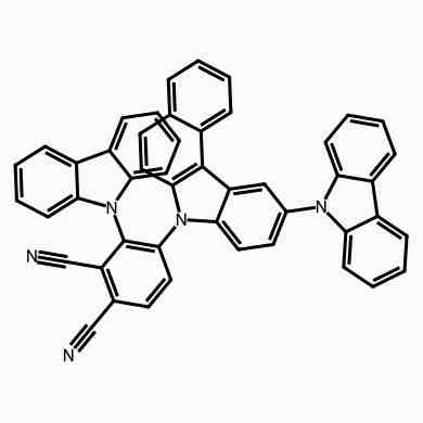 N#Cc1ccc(-n2c3ccc(-n4c5ccccc5c5ccccc54)cc3c3c4ccccc4ccc32)c(-n2c3ccccc3c3ccccc32)c1C#N